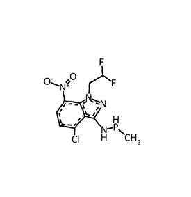 CPNc1nn(CC(F)F)c2c([N+](=O)[O-])ccc(Cl)c12